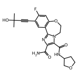 CC(C)(O)C#Cc1cc2c(cc1F)OCCn1c-2nc(C(N)=O)c1C(=O)NC1CCOC1